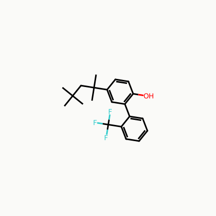 CC(C)(C)CC(C)(C)c1ccc(O)c(-c2ccccc2C(F)(F)F)c1